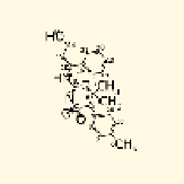 Cc1ccc(C2C(C)(C)OC(N[C@@H](CCO)c3ccccc3)=NS2(=O)=O)cc1